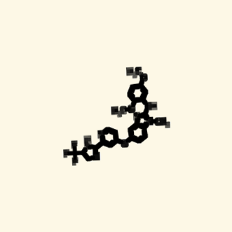 COc1ccc(OC)c(Nc2nc3cc(Oc4ccnc(C5=NCC(C(F)(F)F)N5)c4)ccc3n2C)c1